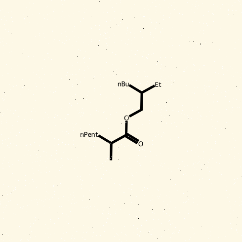 CCCCCC(C)C(=O)OCC(CC)CCCC